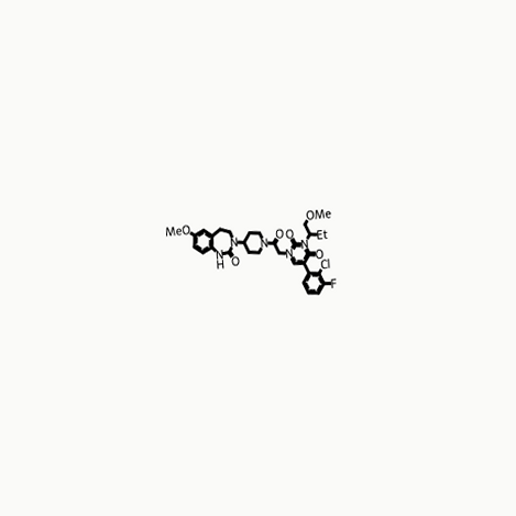 CCC(COC)n1c(=O)c(-c2cccc(F)c2Cl)cn(CC(=O)N2CCC(N3CCc4cc(OC)ccc4NC3=O)CC2)c1=O